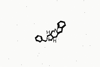 c1ccc(CN2C[C@H]3Cc4cc5ccccc5n4C[C@@H]3C2)cc1